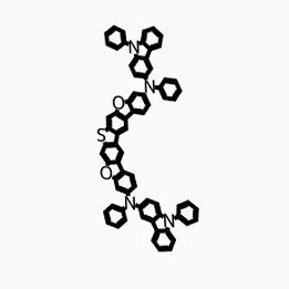 c1ccc(N(c2ccc3c(c2)oc2cc4sc5cc6oc7cc(N(c8ccccc8)c8ccc9c(c8)c8ccccc8n9-c8ccccc8)ccc7c6cc5c4cc23)c2ccc3c(c2)c2ccccc2n3-c2ccccc2)cc1